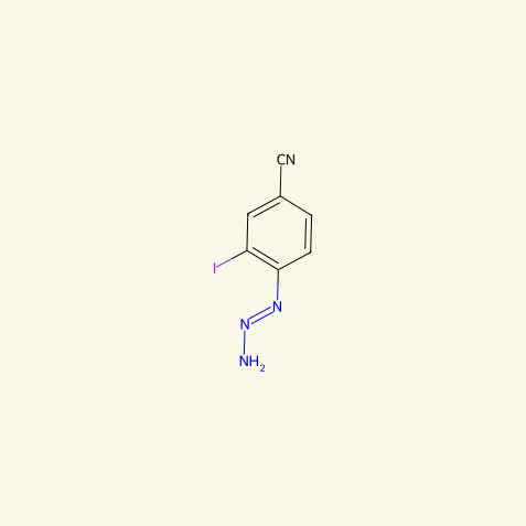 N#Cc1ccc(N=NN)c(I)c1